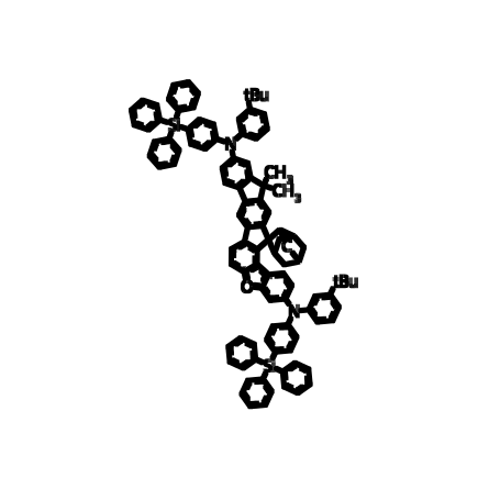 CC(C)(C)c1cccc(N(c2ccc([Si](c3ccccc3)(c3ccccc3)c3ccccc3)cc2)c2ccc3c(c2)C(C)(C)c2cc4c(cc2-3)-c2ccc3oc5cc(N(c6ccc([Si](c7ccccc7)(c7ccccc7)c7ccccc7)cc6)c6cccc(C(C)(C)C)c6)ccc5c3c2C42C3CC4CC(C3)C2C4)c1